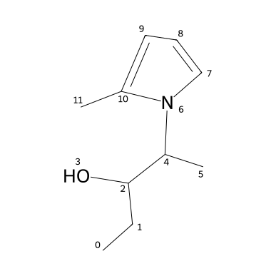 CCC(O)C(C)n1cccc1C